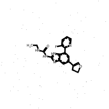 CCNC(=O)Nc1nc2cc(C3=COCC3)cc(-c3ncccc3F)c2[nH]1